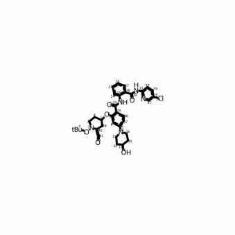 CC(C)(C)ON1CCC(Oc2cc(N3CCC(O)CC3)ccc2C(=O)Nc2ccccc2C(=O)Nc2ccc(Cl)cn2)CC1=C=O